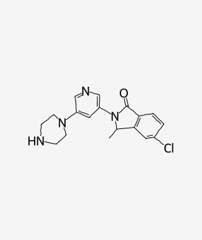 CC1c2cc(Cl)ccc2C(=O)N1c1cncc(N2CCNCC2)c1